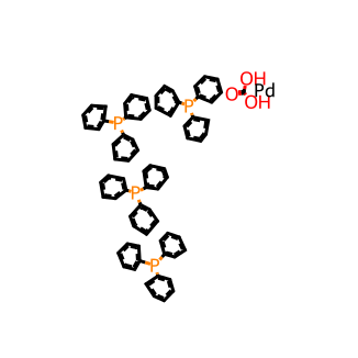 O=C(O)O.[Pd].c1ccc(P(c2ccccc2)c2ccccc2)cc1.c1ccc(P(c2ccccc2)c2ccccc2)cc1.c1ccc(P(c2ccccc2)c2ccccc2)cc1.c1ccc(P(c2ccccc2)c2ccccc2)cc1